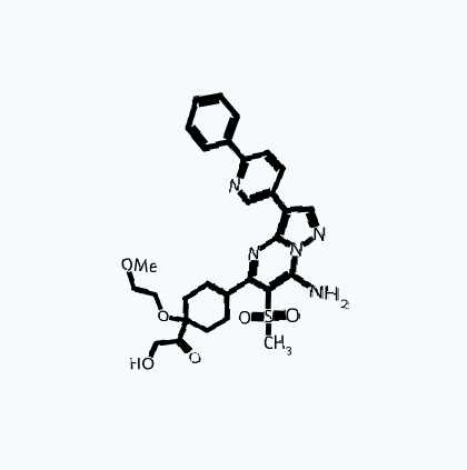 COCCOC1(C(=O)CO)CCC(c2nc3c(-c4ccc(-c5ccccc5)nc4)cnn3c(N)c2S(C)(=O)=O)CC1